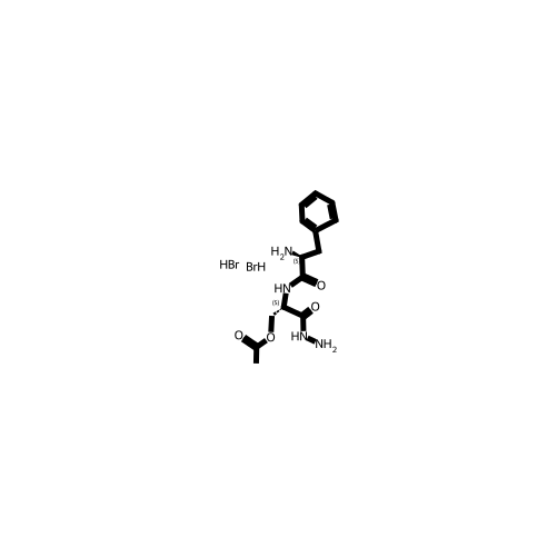 Br.Br.CC(=O)OC[C@H](NC(=O)[C@@H](N)Cc1ccccc1)C(=O)NN